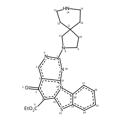 CCOC(=O)c1c(=O)c2cnc(N3CCC4(CCNCC4)C3)nc2n2c1sc1ccccc12